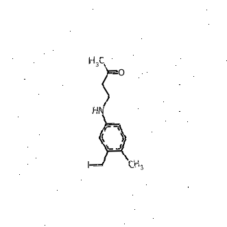 CC(=O)CCNc1ccc(C)c(CI)c1